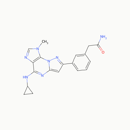 Cn1cnc2c(NC3CC3)nc3cc(-c4cccc(CC(N)=O)c4)nn3c21